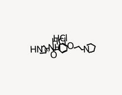 Cl.Cl.O=C(N[C@H]1CCNC1)c1ccc(OCCCN2CCCCC2)cc1